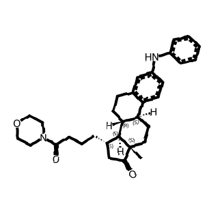 C[C@]12CC[C@@H]3c4ccc(Nc5ccccc5)cc4CC[C@H]3[C@@H]1[C@@H](CCCC(=O)N1CCOCC1)CC2=O